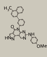 COc1ccc(Nc2ncc3c4n[nH]cc4c(=O)n(-c4cccc(-c5ccc(C)c6ccccc56)c4)c3n2)cc1